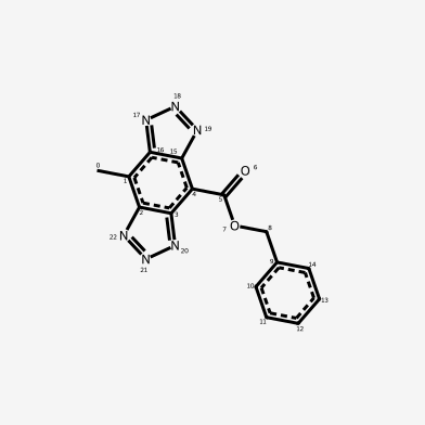 Cc1c2c(c(C(=O)OCc3ccccc3)c3c1=NN=N3)=NN=N2